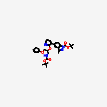 Cc1nn(C(=O)OC(C)(C)C)c2ccc(-c3cccnc3OC(CNC(=O)OC(C)(C)C)COc3ccccc3)cc12